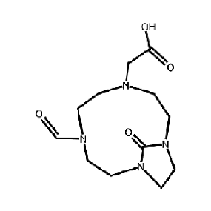 O=CN1CCN(CC(=O)O)CCN2CCN(CC1)C2=O